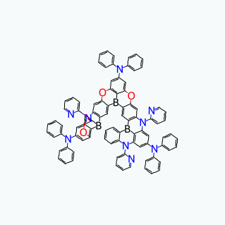 c1ccc(N(c2ccccc2)c2cc3c4c(c2)Oc2cc5c(cc2B4c2cc4c(cc2O3)N(c2ccccn2)c2cc(N(c3ccccc3)c3ccccc3)cc3c2B4c2ccccc2O3)B2c3ccccc3N(c3ccccn3)c3cc(N(c4ccccc4)c4ccccc4)cc(c32)N5c2ccccn2)cc1